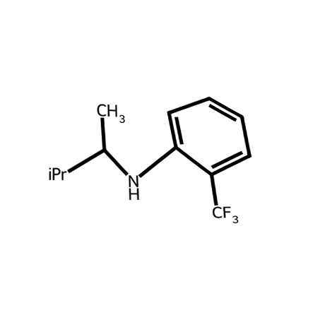 CC(C)C(C)Nc1ccccc1C(F)(F)F